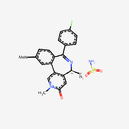 CNc1ccc2c(c1)-c1cn(C)c(=O)cc1[C@H](C)N=C2c1ccc(F)cc1.N[SH](=O)=O